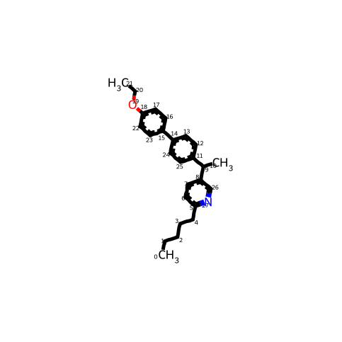 CCCCCc1ccc(C(C)c2ccc(-c3ccc(OCC)cc3)cc2)cn1